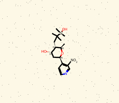 C[C@H]1O[C@@H](c2ccncc2[N+](=O)[O-])C[C@H](O)[C@@H]1CC(C)(C)[Si](C)(C)O